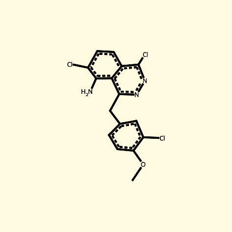 COc1ccc(Cc2nnc(Cl)c3ccc(Cl)c(N)c23)cc1Cl